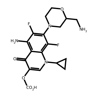 NCC1CN(c2c(F)c(N)c3c(=O)c(OC(=O)O)cn(C4CC4)c3c2F)CCO1